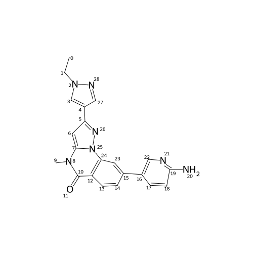 CCn1cc(-c2cc3n(C)c(=O)c4ccc(-c5ccc(N)nc5)cc4n3n2)cn1